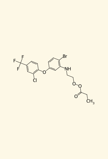 CCC(=O)OOCCNc1cc(Oc2ccc(C(F)(F)F)cc2Cl)ccc1Br